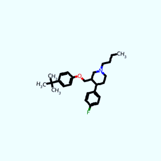 CCCCN1CCC(c2ccc(F)cc2)C(COc2ccc(C(C)(C)C)cc2)C1